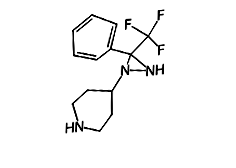 FC(F)(F)C1(c2ccccc2)NN1C1CCNCC1